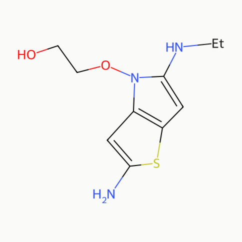 CCNc1cc2sc(N)cc2n1OCCO